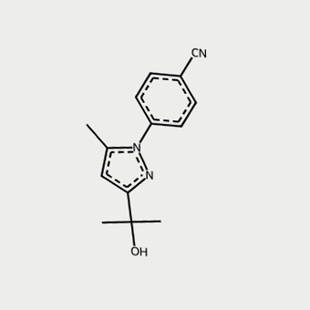 Cc1cc(C(C)(C)O)nn1-c1ccc(C#N)cc1